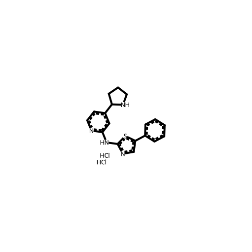 Cl.Cl.c1ccc(-c2cnc(Nc3cc(C4CCCN4)ccn3)s2)cc1